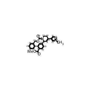 COC(=O)c1ccc(C2C=C(c3cnn(C)c3)CCN2C(=O)OCc2ccccc2)cc1